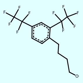 [O]CCCCc1ccc(C(F)(F)C(F)(F)F)cc1C(F)(F)C(F)(F)F